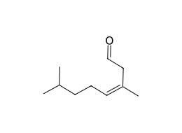 CC(=CCCC(C)C)CC=O